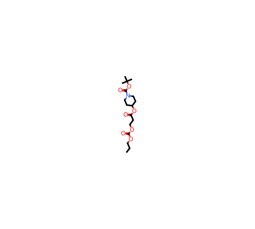 CCCOC(=O)OCCC(=O)OC1CCN(C(=O)OC(C)(C)C)CC1